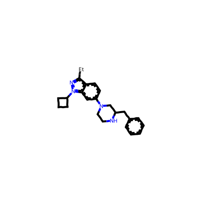 CCc1nn(C2CCC2)c2cc(N3CCNC(Cc4ccccc4)C3)ccc12